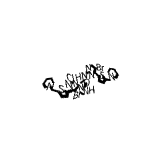 O=C1NCC[N+]1(CCNc1ncc(Br)c(-c2ccc(CN3CCCCC3)s2)n1)c1nc(Cl)nc(-c2ccc(CN3CCCCC3)s2)c1Br